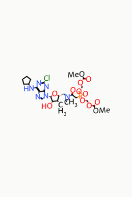 COC(=O)OCOP(=O)(CC(=O)N(C)C[C@H]1O[C@@H](n2cnc3c(NC4CCCC4)nc(Cl)nc32)[C@H](O)[C@@H]1C)OCOC(=O)OC